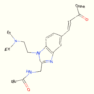 CCN(CC)CCn1c(CNC(=O)C(C)(C)C)nc2cc(/C=C/C(=O)OC)ccc21